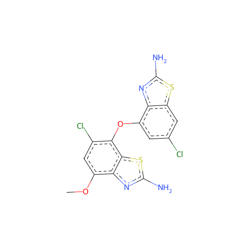 COc1cc(Cl)c(Oc2cc(Cl)cc3sc(N)nc23)c2sc(N)nc12